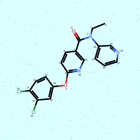 CCN(C(=O)c1ccc(Oc2ccc(Cl)c(Cl)c2)nc1)c1cccnc1